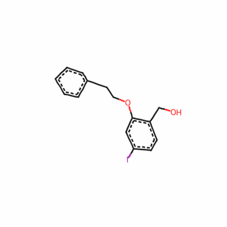 OCc1ccc(I)cc1OCCc1ccccc1